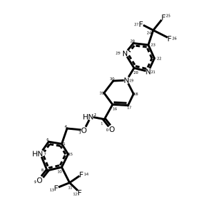 O=C(NOCc1c[nH]c(=O)c(C(F)(F)F)c1)C1=CCN(c2ncc(C(F)(F)F)cn2)CC1